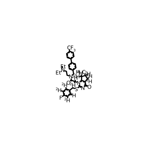 [2H]c1c([2H])c(CSc2nc(=O)c3c(n2C([2H])([2H])C(=O)N(CCN(CC)CC)Cc2ccc(-c4ccc(C(F)(F)F)cc4)cc2)C([2H])([2H])C([2H])(C)C3([2H])[2H])c([2H])c([2H])c1F